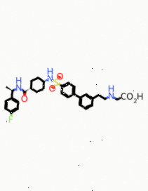 C[C@@H](NC(=O)[C@H]1CC[C@H](NS(=O)(=O)c2ccc(-c3cccc(CCNCC(=O)O)c3)cc2)CC1)c1ccc(F)cc1